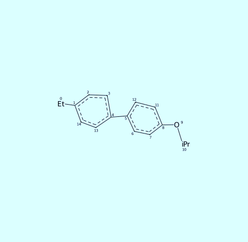 CCc1ccc(-c2ccc(OC(C)C)cc2)cc1